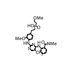 CNC(=O)c1ccccc1Nc1nc(Nc2ccc(CCP(=O)(O)CCOC)cc2OC)ncc1C(F)(F)F